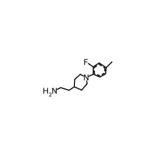 Cc1ccc(N2CCC(CCN)CC2)c(F)c1